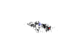 COC(=O)c1ccc2c(c1)N(C[C@@H]1CCO[C@H]1C(OC)/C(F)=C/C[C@H](C)CS(=N)(=O)NC(=O)c1cn(C)nc1OC)C[C@@]1(CCCc3cc(Cl)ccc31)CO2